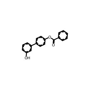 O=C(Oc1ccc(-c2cccc(O)c2)cc1)c1ccccc1